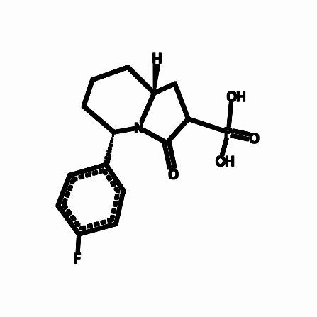 O=C1C(P(=O)(O)O)C[C@H]2CCC[C@@H](c3ccc(F)cc3)N12